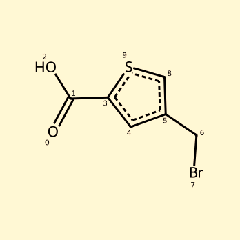 O=C(O)c1cc(CBr)cs1